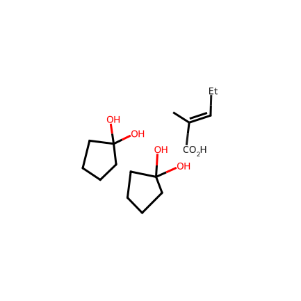 CCC=C(C)C(=O)O.OC1(O)CCCC1.OC1(O)CCCC1